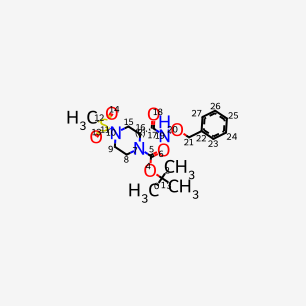 CC(C)(C)OC(=O)N1CCN(S(C)(=O)=O)C[C@@H]1C(=O)NOCc1ccccc1